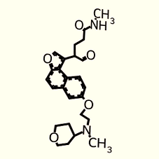 CNC(=O)CCC(C=O)c1coc2ccc3cc(OCCN(C)C4CCOCC4)ccc3c12